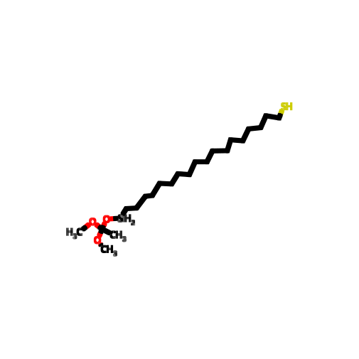 COC(C)(OC)O[SiH2]CCCCCCCCCCCCCCCCCCS